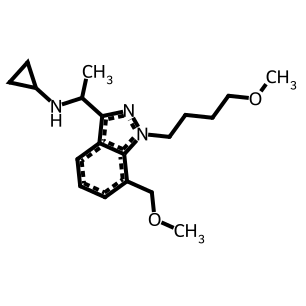 COCCCCn1nc(C(C)NC2CC2)c2cccc(COC)c21